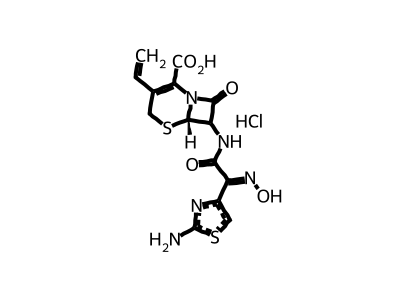 C=CC1=C(C(=O)O)N2C(=O)C(NC(=O)C(=NO)c3csc(N)n3)[C@@H]2SC1.Cl